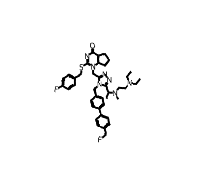 CCN(CC)CCN(C)C(C)c1nnc(Cn2c(SCc3ccc(F)cc3)nc(=O)c3c2CCC3)n1Cc1ccc(-c2ccc(CF)cc2)cc1